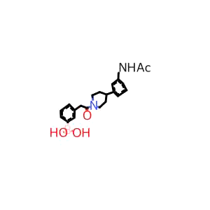 CC(=O)NCc1cccc(C2CCN(C(=O)Cc3cccc(B(O)O)c3)CC2)c1